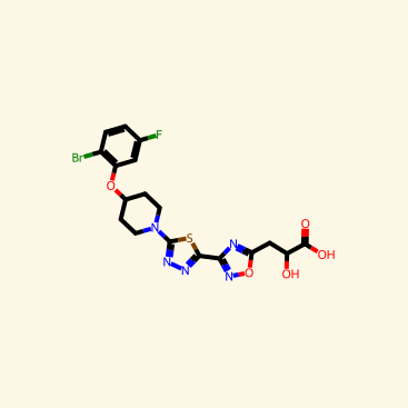 O=C(O)C(O)Cc1nc(-c2nnc(N3CCC(Oc4cc(F)ccc4Br)CC3)s2)no1